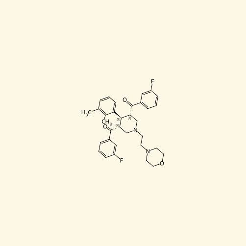 Cc1cccc([C@@H]2[C@@H](C(=O)c3cccc(F)c3)CN(CCN3CCOCC3)C[C@H]2C(=O)c2cccc(F)c2)c1C